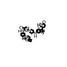 C[C@@H]1CN(c2ncc(Cl)c(Nc3ccc4c(c3)n(CCC3(O)CCC3)c(=O)n4C)n2)CC[C@H]1Nc1ccc2c(C3CCC(=O)NC3=O)nn(C)c2c1